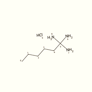 CCCCCC(N)(N)N.Cl